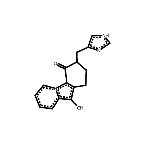 Cc1c2c(n3ccccc13)C(=O)C(Cc1c[nH]cn1)CC2